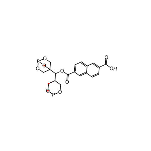 O=C(O)c1ccc2cc(C(=O)OC(C34COP(OC3)OC4)C34COP(OC3)OC4)ccc2c1